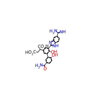 N=C(N)c1ccc2[nH]c(-c3cc(C(CC(=O)O)C(=O)O)cc(-c4cc(C(N)=O)ccc4O)c3O)nc2c1